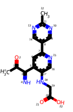 CC(=O)C(=N)c1cc(-c2cnc(C)nc2)ncc1NCC(=O)O